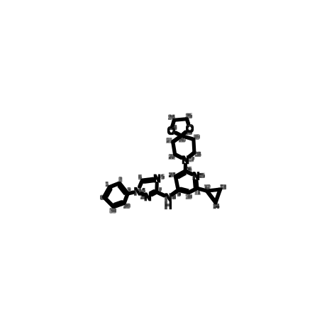 c1ccc(-n2cnc(Nc3cc(C4CC4)nc(N4CCC5(CC4)OCCO5)c3)n2)cc1